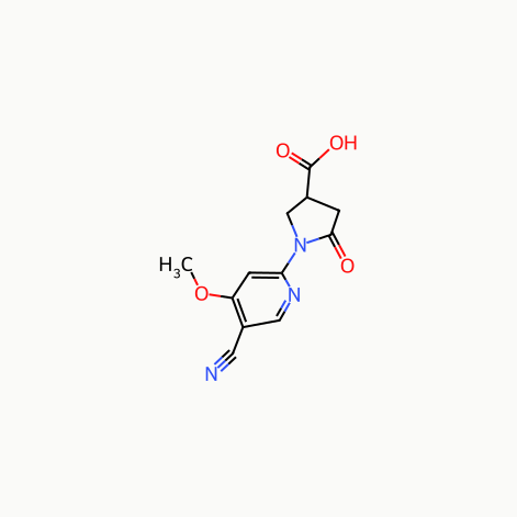 COc1cc(N2CC(C(=O)O)CC2=O)ncc1C#N